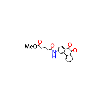 COC(=O)CCCC(=O)Nc1ccc2c(c1)-c1ccccc1C(=O)C2=O